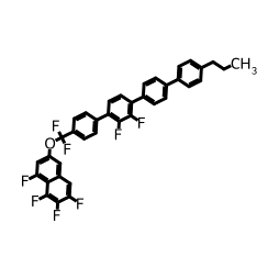 CCCc1ccc(-c2ccc(-c3ccc(-c4ccc(C(F)(F)Oc5cc(F)c6c(F)c(F)c(F)cc6c5)cc4)c(F)c3F)cc2)cc1